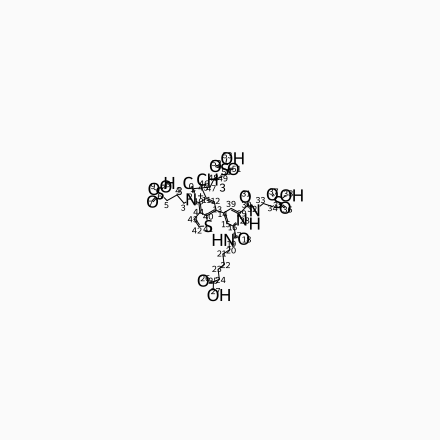 CC1=[N+](CCCS(=O)(=O)[O-])c2c(cc(-c3cc(C(=O)NCCCCCC(=O)O)nc(C(=O)NCCS(=O)(=O)O)c3)c3sccc23)C1(C)CCCS(=O)(=O)O